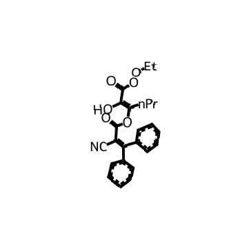 CCCC(OC(=O)C(C#N)=C(c1ccccc1)c1ccccc1)=C(O)C(=O)OOCC